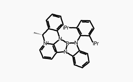 CC(C)c1cccc(C(C)C)c1N1B2N(c3ccccc31)c1ccc[n+]3c1N2c1ccccc1[C@H]3C